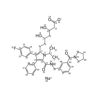 CC(C)n1c(CCC(O)CC(O)CC(=O)[O-])c(-c2ccc(F)cc2)c(-c2ccccc2)c1C(=O)NCc1cccc(C(=O)N2CCCC2)c1.[Na+]